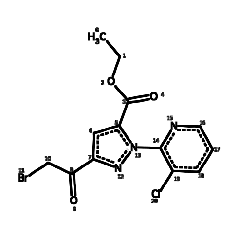 CCOC(=O)c1cc(C(=O)CBr)nn1-c1ncccc1Cl